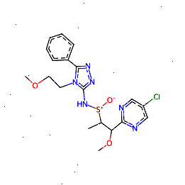 COCCn1c(N[S+]([O-])C(C)C(OC)c2ncc(Cl)cn2)nnc1-c1ccccc1